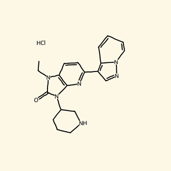 CCn1c(=O)n(C2CCCNC2)c2nc(-c3cnn4ccccc34)ccc21.Cl